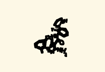 Cc1cccc(Cl)c1-n1cnc(N)c(C(=O)Nc2cccc([C@H]3CCCN3)c2F)c1=O